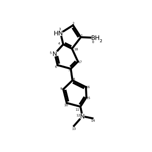 Bc1c[nH]c2ncc(-c3ccc(N(C)C)cc3)cc12